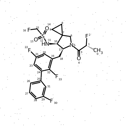 C[C@@H](F)C(=O)N1CC2(CC2)[C@H](NS(=O)(=O)CF)[C@@H]1Cc1cc(F)cc(-c2cccc(F)c2)c1F